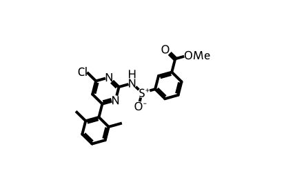 COC(=O)c1cccc([S+]([O-])Nc2nc(Cl)cc(-c3c(C)cccc3C)n2)c1